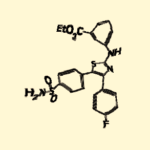 CCOC(=O)c1cccc(Nc2nc(-c3ccc(F)cc3)c(-c3ccc(S(N)(=O)=O)cc3)s2)c1